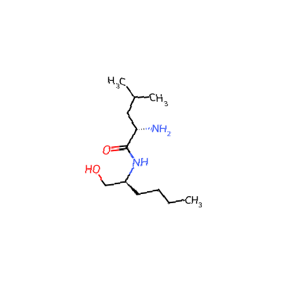 CCCC[C@@H](CO)NC(=O)[C@@H](N)CC(C)C